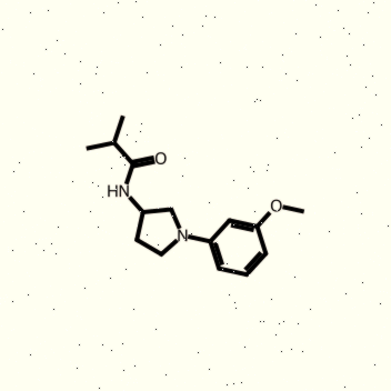 COc1cccc(N2CCC(NC(=O)C(C)C)C2)c1